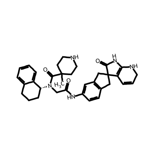 CC1(C(=O)N(CC(=O)Nc2ccc3c(c2)CC2(C3)C(=O)NC3=C2C=CCN3)[C@@H]2CCCc3ccccc32)CCNCC1